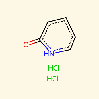 Cl.Cl.O=c1cccc[nH]1